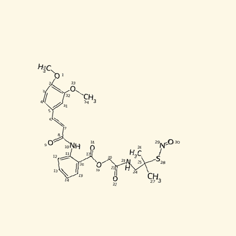 COc1ccc(/C=C/C(=O)Nc2ccccc2C(=O)OCC(=O)NCC(C)(C)SN=O)cc1OC